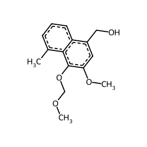 COCOc1c(OC)cc(CO)c2cccc(C)c12